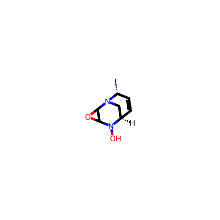 ON1C2OC2N2C[C@H]1C=C[C@H]2I